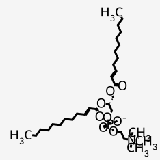 CCCCCCCCCC=CC(=O)OC[C@H](COP(=O)([O-])OCC[N+](C)(C)C)OC(=O)C=CCCCCCCCCC